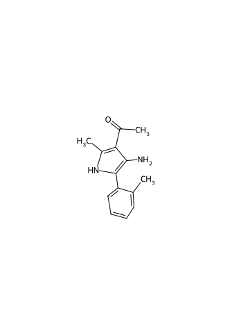 CC(=O)c1c(C)[nH]c(-c2ccccc2C)c1N